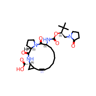 CC(C)(C)[C@@H](CN1CCCC1=O)OC(=O)N[C@H]1CCCCC/C=C\C2C[C@@]2(C(=O)O)NC(=O)[C@@H]2CCCN2C1=O